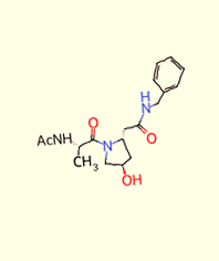 CC(=O)N[C@@H](C)C(=O)N1C[C@H](O)C[C@H]1CC(=O)NCc1ccccc1